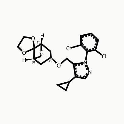 Clc1cccc(Cl)c1-n1ncc(C2CC2)c1CO[C@H]1C[C@H]2CC[C@@H](C1)C21OCCO1